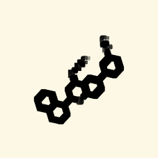 [C-]#[N+]/N=C1/CC(C2CCCc3ccccc32)Oc2ccc(-c3cccc([N+]#[C-])c3)cc21